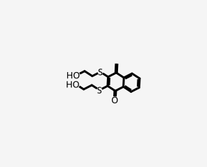 C=C1C(SCCO)=C(SCCO)C(=O)c2ccccc21